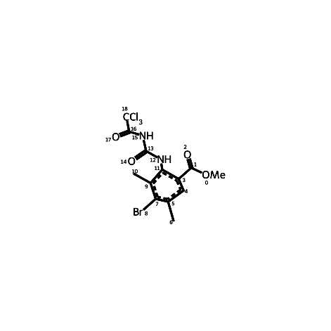 COC(=O)c1cc(C)c(Br)c(C)c1NC(=O)NC(=O)C(Cl)(Cl)Cl